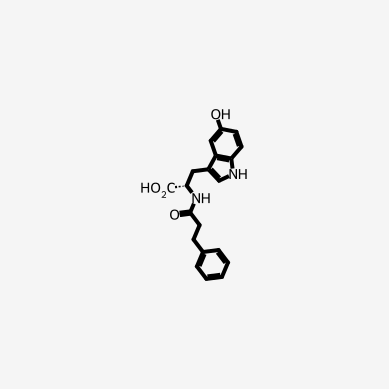 O=C(CCc1ccccc1)N[C@@H](Cc1c[nH]c2ccc(O)cc12)C(=O)O